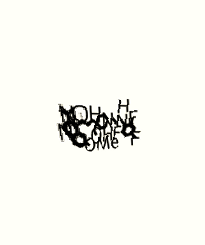 COc1ccc2ncc(N(C)C)c([C@H](O)CCC3(CO)CCN(CCNc4c(F)cc(F)cc4F)CC3)c2c1